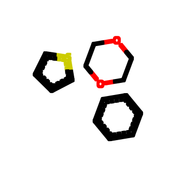 C1COCCO1.c1ccccc1.c1ccsc1